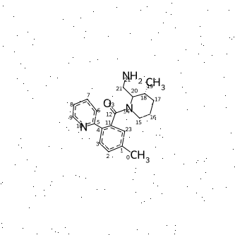 Cc1ccc(-c2ccccn2)c(C(=O)N2CCC[C@@H](C)C2CN)c1